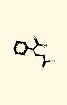 O=C(O)CC[C@H](C(=O)O)c1ccccc1